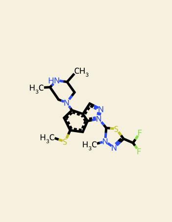 CSc1cc(N2CC(C)NC(C)C2)c2cnn(C3SC(C(F)F)=NN3C)c2c1